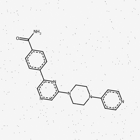 NC(=O)c1ccc(-c2cncc(N3CCN(c4ccncc4)CC3)n2)cc1